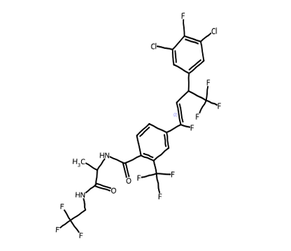 CC(NC(=O)c1ccc(/C(F)=C/C(c2cc(Cl)c(F)c(Cl)c2)C(F)(F)F)cc1C(F)(F)F)C(=O)NCC(F)(F)F